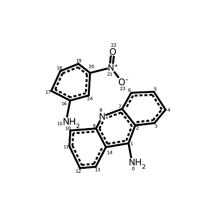 Nc1c2ccccc2nc2ccccc12.Nc1cccc([N+](=O)[O-])c1